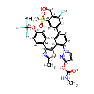 CNC(=O)Oc1ccn(-c2ccc(-c3cc(F)c(CO)c(S(C)(=O)=O)c3)cc2-c2oc(C)nc2-c2ccc(OC(F)(F)F)cc2)n1